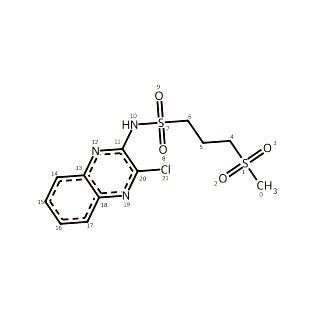 CS(=O)(=O)CCCS(=O)(=O)Nc1nc2ccccc2nc1Cl